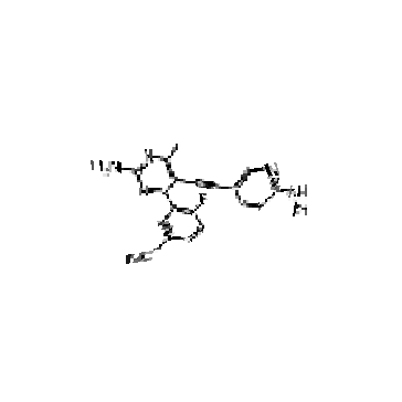 CCNc1ccc(C#Cc2c(C)nc(N)nc2-c2cc(C#N)ccc2F)cn1